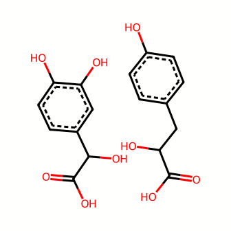 O=C(O)C(O)Cc1ccc(O)cc1.O=C(O)C(O)c1ccc(O)c(O)c1